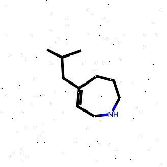 CC(C)CC1=CCNCCC1